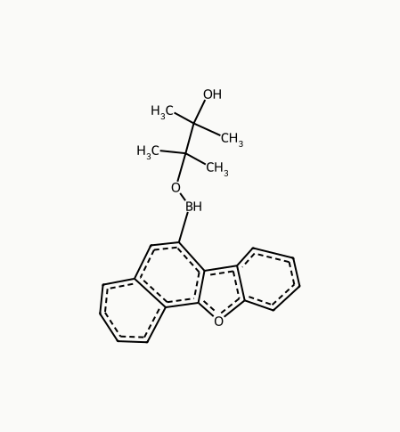 CC(C)(O)C(C)(C)OBc1cc2ccccc2c2oc3ccccc3c12